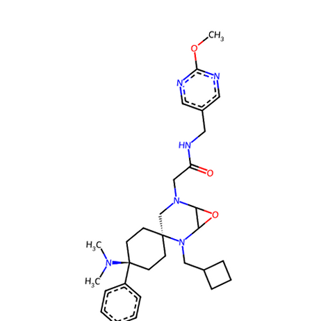 COc1ncc(CNC(=O)CN2C[C@]3(CC[C@](c4ccccc4)(N(C)C)CC3)N(CC3CCC3)C3OC32)cn1